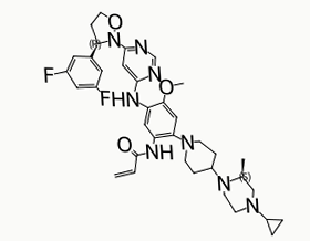 C=CC(=O)Nc1cc(Nc2cc(N3OCC[C@@H]3c3cc(F)cc(F)c3)ncn2)c(OC)cc1N1CCC(N2CCN(C3CC3)C[C@@H]2C)CC1